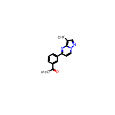 COC(=O)c1cccc(-c2ccn3ncc(C=O)c3n2)c1